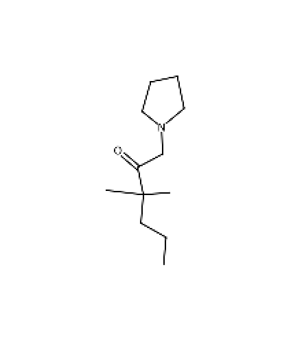 CCCC(C)(C)C(=O)CN1CCCC1